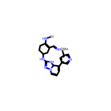 CCNC1=C(C=N)CC(NC2=NN3C=CC=C(c4cncc(OC)c4)C3N2)CC1